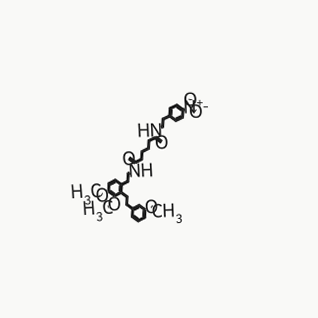 COc1cccc(CCc2c(CCNC(=O)CCCCC(=O)NCCc3ccc([N+](=O)[O-])cc3)ccc(OC)c2OC)c1